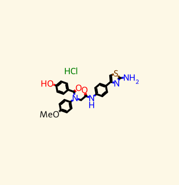 COc1ccc(N(CC(=O)Nc2ccc(-c3csc(N)n3)cc2)C(=O)c2ccc(O)cc2)cc1.Cl